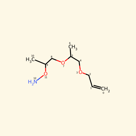 C=CCOCC(C)OCC(C)ON